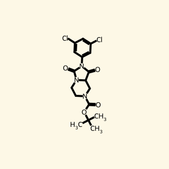 CC(C)(C)OC(=O)N1CCN2C(=O)N(c3cc(Cl)cc(Cl)c3)C(=O)C2C1